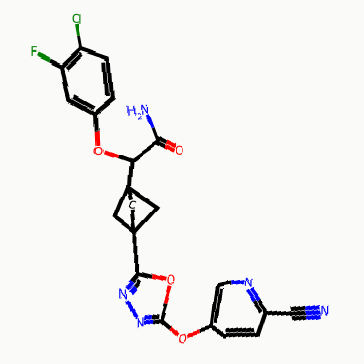 N#Cc1ccc(Oc2nnc(C34CC(C(Oc5ccc(Cl)c(F)c5)C(N)=O)(C3)C4)o2)cn1